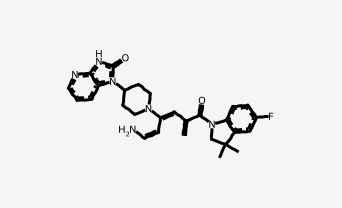 C=C(/C=C(\C=C/N)N1CCC(n2c(=O)[nH]c3ncccc32)CC1)C(=O)N1CC(C)(C)c2cc(F)ccc21